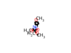 C=C(OCC)c1c(OC)cnn(Cc2ccc(OC)cc2)c1=O